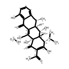 C[C@H]1c2cccc(O)c2C(=O)C2=C(O)[C@]3(O)C(=O)C(C(N)=O)=C(O)[C@@H](N(C)C)[C@H]3[C@@H](O)[C@@H]21.O=[N+]([O-])O